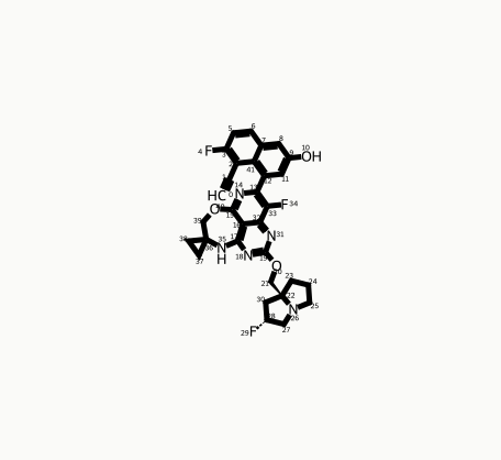 C#Cc1c(F)ccc2cc(O)cc(-c3nc4c5c(nc(OC[C@@]67CCCN6C[C@H](F)C7)nc5c3F)NC3(CC3)CO4)c12